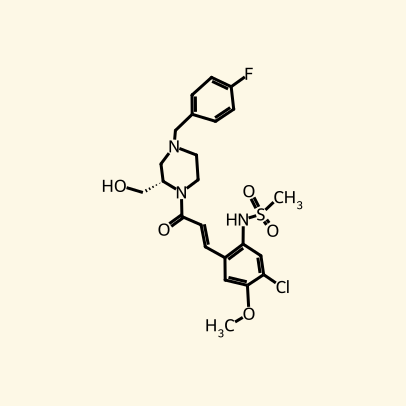 COc1cc(C=CC(=O)N2CCN(Cc3ccc(F)cc3)C[C@H]2CO)c(NS(C)(=O)=O)cc1Cl